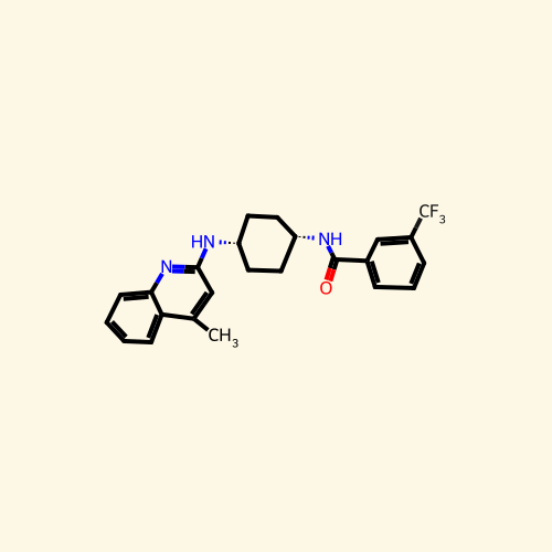 Cc1cc(N[C@H]2CC[C@@H](NC(=O)c3cccc(C(F)(F)F)c3)CC2)nc2ccccc12